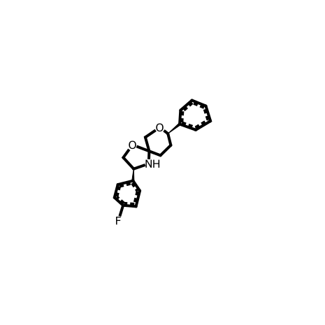 Fc1ccc([C@H]2COC3(CC[C@H](c4ccccc4)OC3)N2)cc1